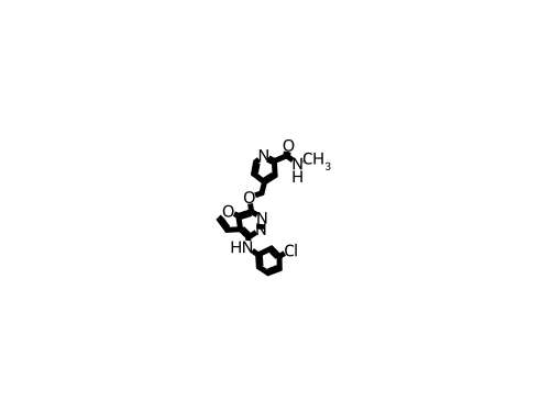 CNC(=O)c1cc(COc2nnc(Nc3cccc(Cl)c3)c3ccoc23)ccn1